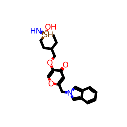 N=[SH]1(O)CCC(COc2coc(Cn3cc4ccccc4c3)cc2=O)CC1